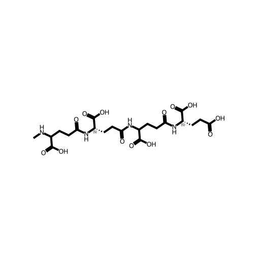 CNC(CCC(=O)N[C@@H](CCC(=O)NC(CCC(=O)N[C@@H](CCC(=O)O)C(=O)O)C(=O)O)C(=O)O)C(=O)O